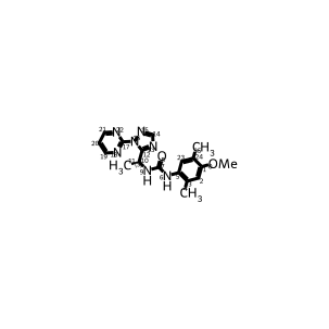 COc1cc(C)c(NC(=O)N[C@@H](C)c2ncnn2-c2ncccn2)cc1C